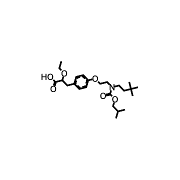 CCOC(Cc1ccc(OCCN(CCC(C)(C)C)C(=O)OCC(C)C)cc1)C(=O)O